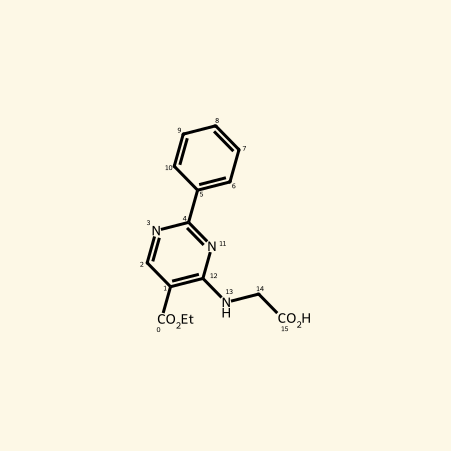 CCOC(=O)c1cnc(-c2ccccc2)nc1NCC(=O)O